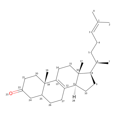 CC(C)=CCC[C@@H](C)[C@H]1CC[C@H]2C3=C(CC[C@]12C)[C@@]1(C)CCC(=O)CC1CC3